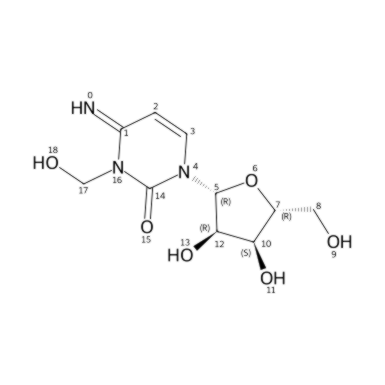 N=c1ccn([C@@H]2O[C@H](CO)[C@@H](O)[C@H]2O)c(=O)n1CO